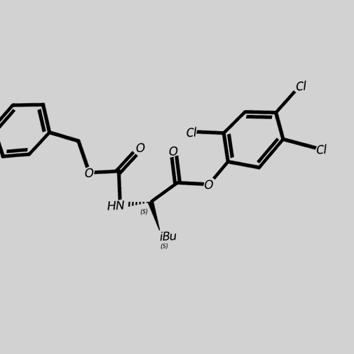 CC[C@H](C)[C@H](NC(=O)OCc1ccccc1)C(=O)Oc1cc(Cl)c(Cl)cc1Cl